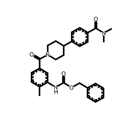 Cc1ccc(C(=O)N2CCC(c3ccc(C(=O)N(C)C)cc3)CC2)cc1NC(=O)OCc1ccccc1